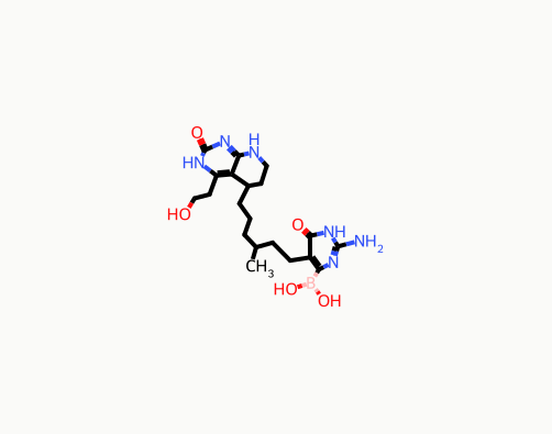 CC(CCCC1CCNc2nc(=O)[nH]c(CCO)c21)CCc1c(B(O)O)nc(N)[nH]c1=O